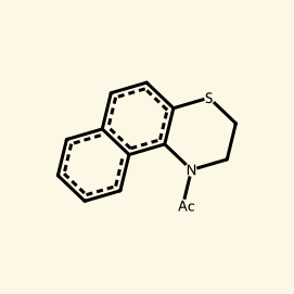 CC(=O)N1CCSc2ccc3ccccc3c21